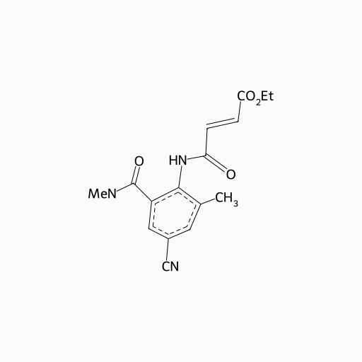 CCOC(=O)C=CC(=O)Nc1c(C)cc(C#N)cc1C(=O)NC